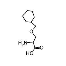 N[C@@H](COCC1CCCCC1)C(=O)O